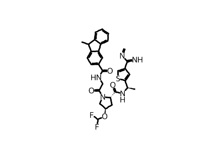 C=NC(=N)c1csc([C@@H](C)NC(=O)[C@@H]2C[C@@H](OC(F)F)CN2C(=O)CNC(=O)c2ccc3c(c2)-c2ccccc2C3C)c1